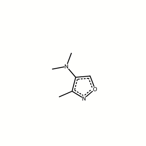 Cc1nocc1N(C)C